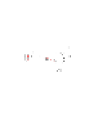 N#C[C@H]1CC(F)(F)CN1C(=O)CNC(=O)c1ccnc2ccc(OCCCCN3CCN(C(=O)CCCN4C(=O)CC(SCC(CCCCNC(=O)CCCc5ccc(I)cc5)NC(=O)CN5CCN(CC(=O)O)CCN(CC(=O)O)CCN(CC(=O)O)CC5)C4=O)CC3)cc12